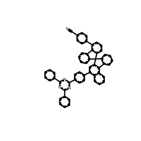 N#Cc1ccc(-c2cccc3c2-c2ccccc2C32c3ccccc3-c3c2cc(-c2ccc(-c4nc(-c5ccccc5)nc(-c5ccccc5)n4)cc2)c2ccccc32)cc1